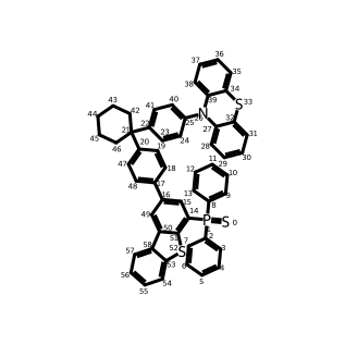 S=P(c1ccccc1)(c1ccccc1)c1cc(-c2ccc(C3(c4ccc(N5c6ccccc6Sc6ccccc65)cc4)CCCCC3)cc2)cc2c1sc1ccccc12